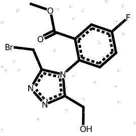 COC(=O)c1cc(F)ccc1-n1c(CO)nnc1CBr